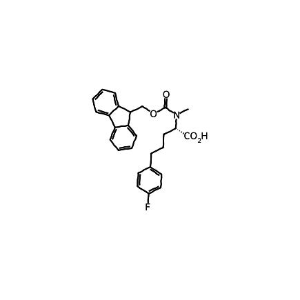 CN(C(=O)OCC1c2ccccc2-c2ccccc21)[C@@H](CCCc1ccc(F)cc1)C(=O)O